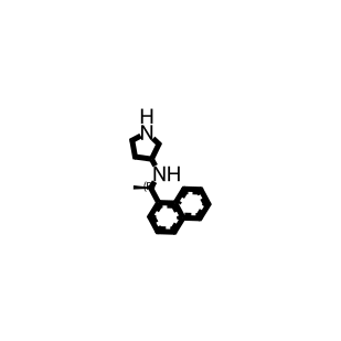 C[C@@H](NC1CCNC1)c1cccc2ccccc12